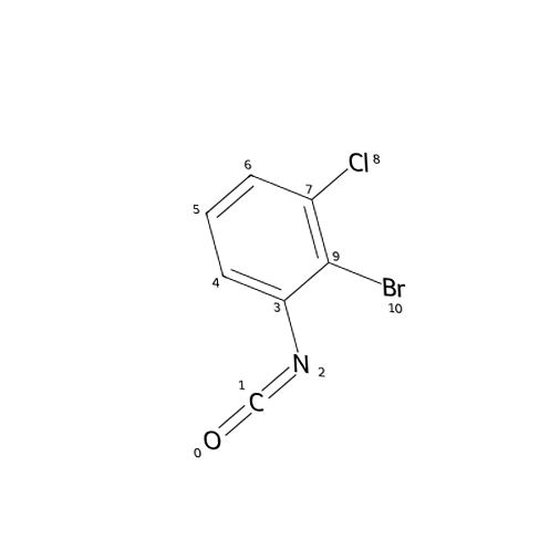 O=C=Nc1cccc(Cl)c1Br